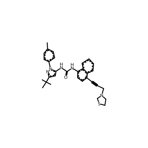 Cc1ccc(-n2nc(C(C)(C)C)cc2NC(=O)Nc2ccc(C#CCN3CCSC3)c3ccccc23)cc1